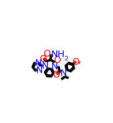 COc1ccc(N(C(=O)CN2C(=O)C(C(N)=O)C(=O)N(c3ncccn3)c3ccccc32)C(C)C)cc1